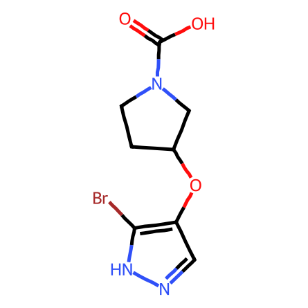 O=C(O)N1CCC(Oc2cn[nH]c2Br)C1